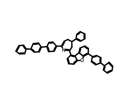 C1=C(c2ccc(-c3ccc(-c4ccccc4)cc3)cc2)N=C(c2cccc3oc4c(-c5ccc(-c6ccccc6)cc5)cccc4c23)CC(c2ccccc2)C1